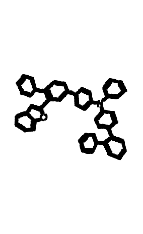 c1ccc(-c2ccccc2-c2ccc(N(c3ccccc3)c3ccc(-c4ccc(-c5ccccc5)c(-c5cc6ccccc6o5)c4)cc3)cc2)cc1